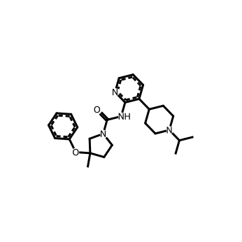 CC(C)N1CCC(c2cccnc2NC(=O)N2CCC(C)(Oc3ccccc3)C2)CC1